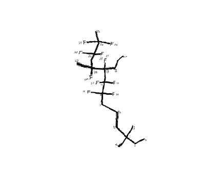 CCC(C)(C)CCCC(F)(F)C(F)(F)C(F)(CC)C(C)(F)C(F)(F)C(C)(F)F